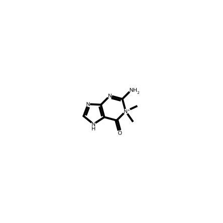 C[N+]1(C)C(=O)c2[nH]cnc2N=C1N